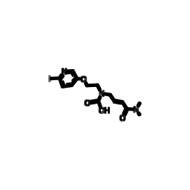 CN(C)C(=O)/C=C/CN(CCOc1ccc(I)nc1)C(=O)O